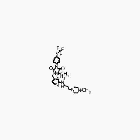 CN1CCN(CCCNc2cc(CN3C(=O)N(c4ccc(SC(F)(F)F)cc4)C(=O)C3(C)C)ccn2)CC1